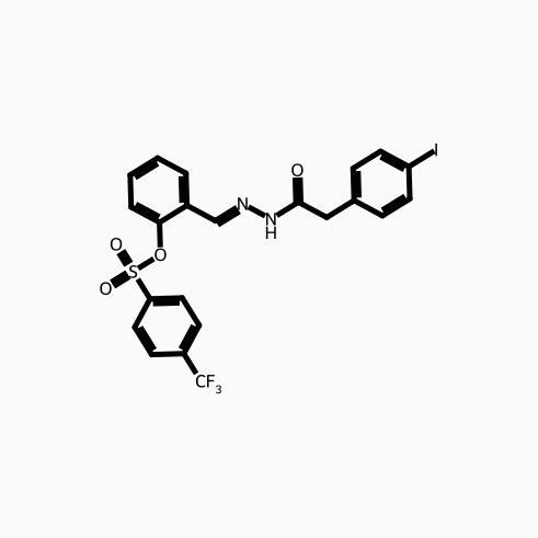 O=C(Cc1ccc(I)cc1)NN=Cc1ccccc1OS(=O)(=O)c1ccc(C(F)(F)F)cc1